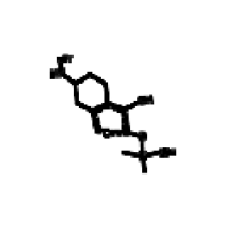 CCCNC1CCc2c(ccc(O[Si](C)(C)C(C)(C)C)c2O)C1